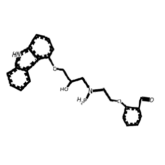 O=Cc1ccccc1OCCN(P)CC(O)COc1cccc2[nH]c3ccccc3c12